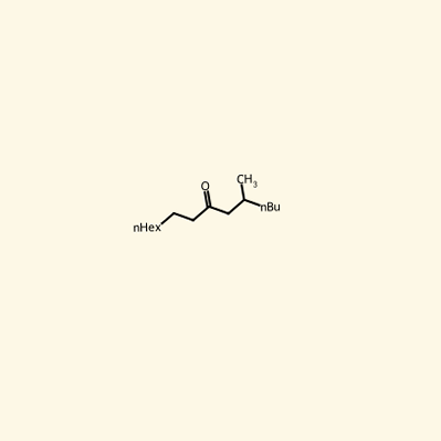 CCCCCCCCC(=O)CC(C)CCCC